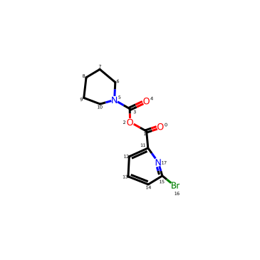 O=C(OC(=O)N1CCCCC1)c1cccc(Br)n1